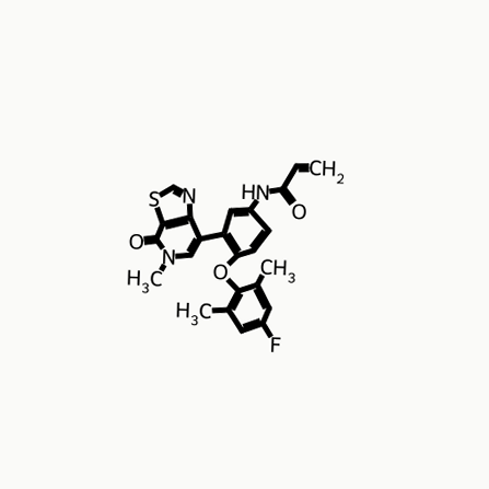 C=CC(=O)Nc1ccc(Oc2c(C)cc(F)cc2C)c(-c2cn(C)c(=O)c3scnc23)c1